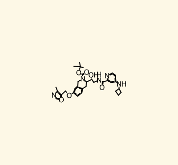 Cc1ncoc1COc1ccc2c(c1)CN(C(=O)OC(C)(C)C)C([C@H](O)CNC(=O)c1cc(NC3CCC3)ccn1)C2